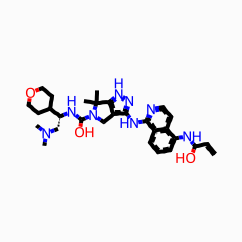 C=CC(O)Nc1cccc2c(Nc3n[nH]c4c3CN(C(O)N[C@H](CN(C)C)C3CCOCC3)C4(C)C)nccc12